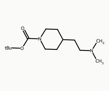 CN(C)CCC1CCN(C(=O)OC(C)(C)C)CC1